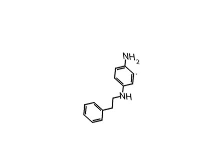 Nc1[c]cc(NCCc2ccccc2)cc1